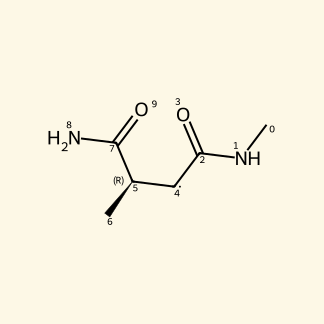 CNC(=O)[CH][C@@H](C)C(N)=O